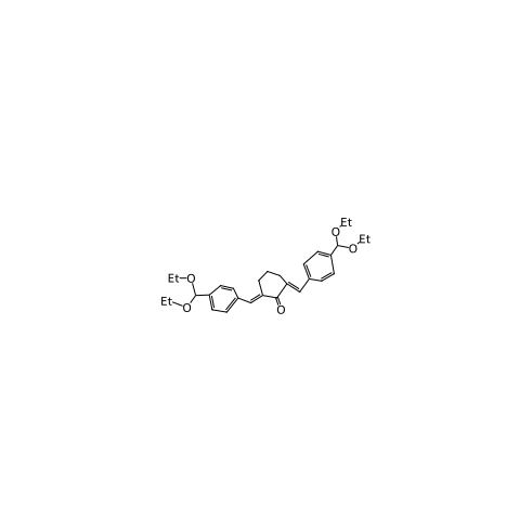 CCOC(OCC)c1ccc(C=C2CCC/C(=C\c3ccc(C(OCC)OCC)cc3)C2=O)cc1